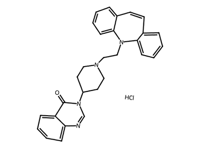 Cl.O=c1c2ccccc2ncn1C1CCN(CCN2c3ccccc3C=Cc3ccccc32)CC1